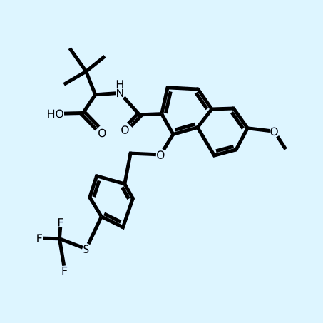 COc1ccc2c(OCc3ccc(SC(F)(F)F)cc3)c(C(=O)NC(C(=O)O)C(C)(C)C)ccc2c1